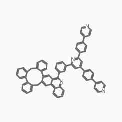 c1cc(-c2cc(-c3ccc(-c4ccncc4)cc3)cc(-c3ccc(-c4ccncc4)cc3)n2)cc(-c2nc3ccccc3c3cc4c(cc23)-c2ccccc2Cc2ccccc2-c2ccccc2C4)c1